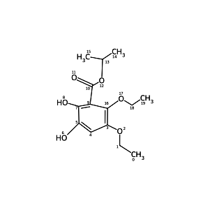 CCOc1cc(O)c(O)c(C(=O)OC(C)C)c1OCC